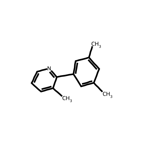 Cc1cc(C)cc(-c2ncccc2C)c1